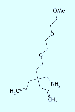 C=CCC(CN)(CC=C)CCOCCOCCOC